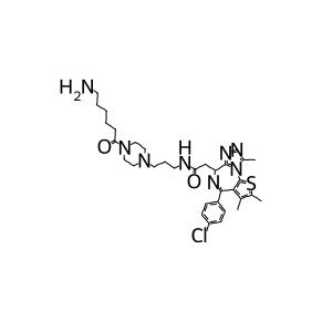 Cc1sc2c(c1C)C(c1ccc(Cl)cc1)=NC(CC(=O)NCCCN1CCN(C(=O)CCCCCN)CC1)c1nnc(C)n1-2